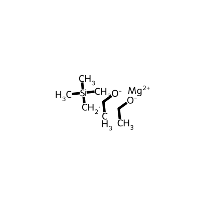 CC[O-].CC[O-].[CH2][Si](C)(C)C.[Mg+2]